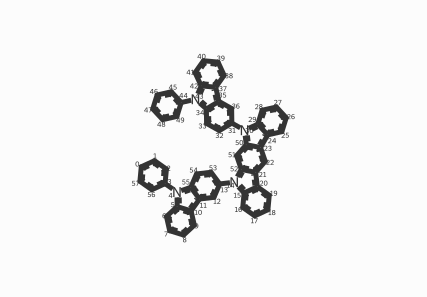 c1ccc(-n2c3ccccc3c3cc(-n4c5ccccc5c5cc6c7ccccc7n(-c7ccc8c(c7)c7ccccc7n8-c7ccccc7)c6cc54)ccc32)cc1